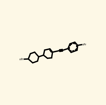 CCCc1ccc(C#CC2=CCC(C3CCC(CCC)CC3)CC2)cc1